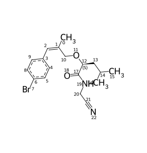 CC(=Cc1ccc(Br)cc1)CO[C@@H](CC(C)C)C(=O)NCC#N